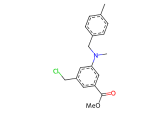 COC(=O)c1cc(CCl)cc(N(C)Cc2ccc(C)cc2)c1